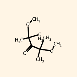 COC(C)(C)C(=O)C(C)(C)OC